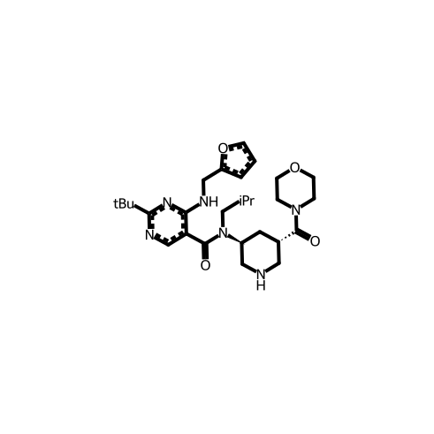 CC(C)CN(C(=O)c1cnc(C(C)(C)C)nc1NCc1ccco1)[C@@H]1CNC[C@@H](C(=O)N2CCOCC2)C1